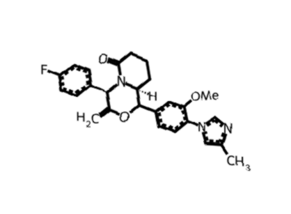 C=C1OC(c2ccc(-n3cnc(C)c3)c(OC)c2)[C@@H]2CCCC(=O)N2[C@@H]1c1ccc(F)cc1